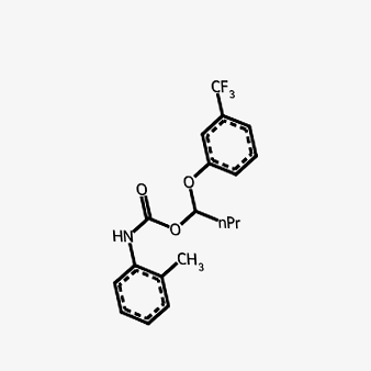 CCCC(OC(=O)Nc1ccccc1C)Oc1cccc(C(F)(F)F)c1